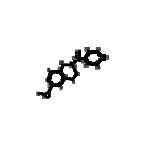 COc1[c]cc2c(c1)CCN(Nc1ccncc1)C2